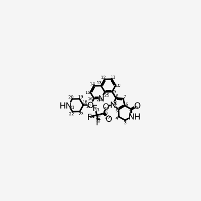 O=C1NCCc2c1cc(-c1cccc3ccc(OC4CCNCC4)nc13)n2OC(=O)C(F)(F)F